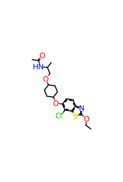 CCOc1nc2ccc(OC3CCC(OCC(C)NC(C)=O)CC3)c(Cl)c2s1